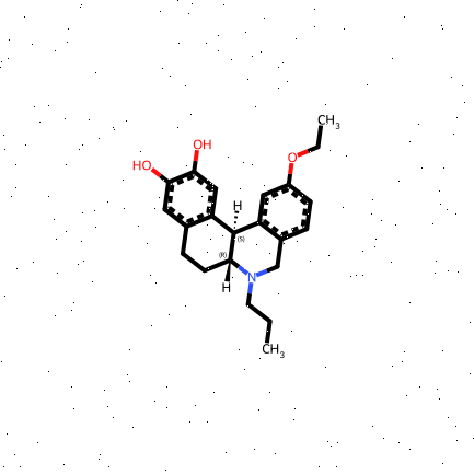 CCCN1Cc2ccc(OCC)cc2[C@@H]2c3cc(O)c(O)cc3CC[C@H]21